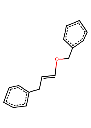 C(=COCc1ccccc1)Cc1ccccc1